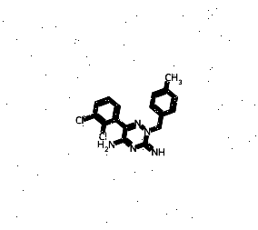 Cc1ccc(Cn2nc(-c3cccc(Cl)c3Cl)c(N)nc2=N)cc1